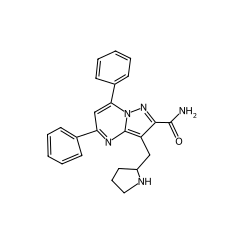 NC(=O)c1nn2c(-c3ccccc3)cc(-c3ccccc3)nc2c1CC1CCCN1